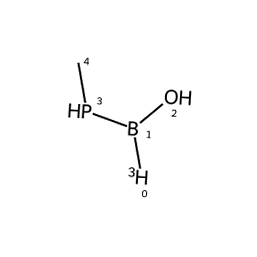 [3H]B(O)PC